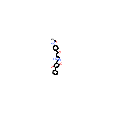 CC(C)C(=O)Nc1ccc(C(=O)Cc2cnc(C3=CC(=O)C(c4ccccc4)=CC3=O)[nH]2)cc1